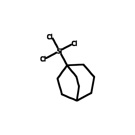 Cl[Si](Cl)(Cl)C12CCCC(CC1)CC2